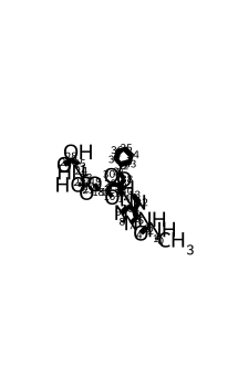 CCNC(=O)Nc1ncnc2c1ncn2[C@@H]1O[C@H](COP(=O)(O)CNCC(=O)O)C2O[C@@H](c3ccccc3)O[C@@H]21